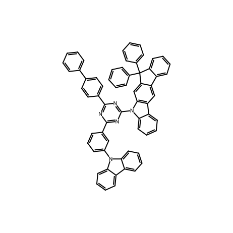 c1ccc(-c2ccc(-c3nc(-c4cccc(-n5c6ccccc6c6ccccc65)c4)nc(-n4c5ccccc5c5cc6c(cc54)C(c4ccccc4)(c4ccccc4)c4ccccc4-6)n3)cc2)cc1